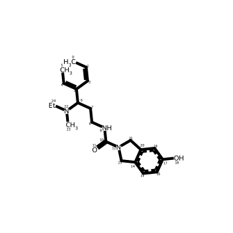 C/C=C\C(=C/C)C(CCNC(=O)N1Cc2ccc(O)cc2C1)N(C)CC